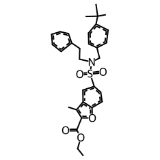 CCOC(=O)c1oc2ccc(S(=O)(=O)N(CCc3ccccc3)Cc3ccc(C(C)(C)C)cc3)cc2c1C